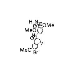 COc1cc2c(cc1Br)C1(CC1)Cc1c(-c3ccc(OC)c(S(N)(=O)=O)c3OC)noc1-2